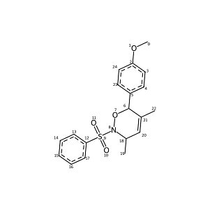 COc1ccc(C2ON(S(=O)(=O)c3ccccc3)C(C)C=C2C)cc1